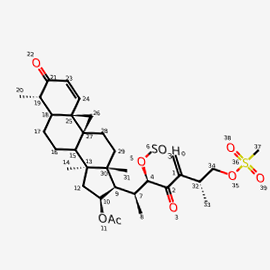 C=C(C(=O)[C@H](OS(=O)(=O)O)[C@@H](C)[C@H]1[C@@H](OC(C)=O)C[C@@]2(C)C3CCC4[C@H](C)C(=O)C=C[C@@]45C[C@@]35CC[C@]12C)[C@@H](C)COS(C)(=O)=O